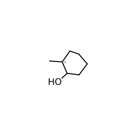 C[C]1CCCCC1O